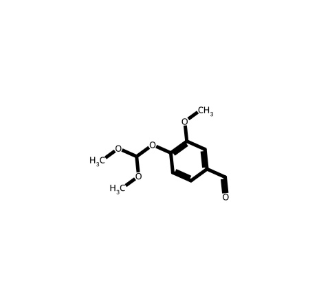 COc1cc(C=O)ccc1OC(OC)OC